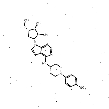 O=[N+]([O-])c1ccc(N2CCC(Nc3ncnc4c3ncn4[C@@H]3C[C@H](CO)[C@@H](O)[C@H]3O)CC2)cc1